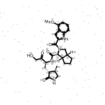 COc1cccc2[nH]c(C(=O)N3C[C@@H]4CCC[C@@H]4[C@H]3C(=O)N[C@@H](C[C@H]3C(=O)NC[C@@H]3C)C(=O)CO)cc12